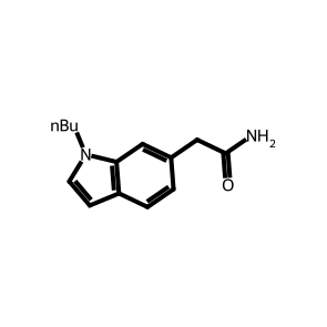 CCCCn1ccc2ccc(CC(N)=O)cc21